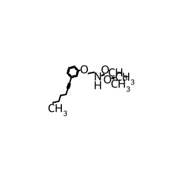 CCCCCC#Cc1cccc(OCCNC(=O)OC(C)(C)C)c1